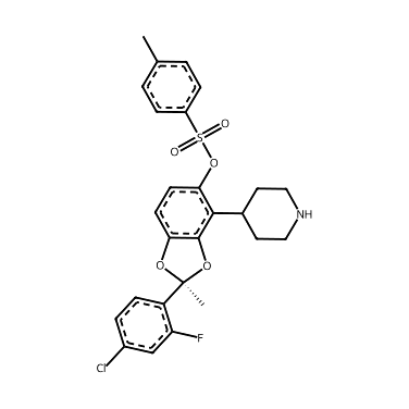 Cc1ccc(S(=O)(=O)Oc2ccc3c(c2C2CCNCC2)O[C@@](C)(c2ccc(Cl)cc2F)O3)cc1